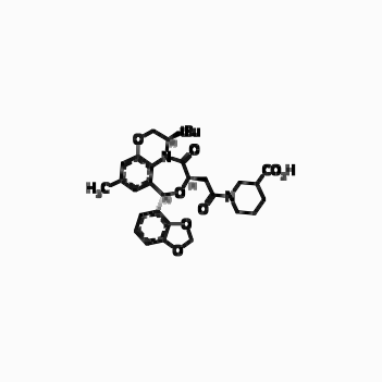 Cc1cc2c3c(c1)[C@@H](c1cccc4c1OCO4)O[C@H](CC(=O)N1CCCC(C(=O)O)C1)C(=O)N3[C@H](C(C)(C)C)CO2